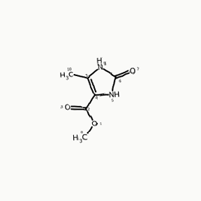 COC(=O)c1[nH]c(=O)[nH]c1C